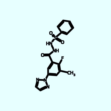 Cc1cc(-n2nccn2)cc(C(=O)NNS(=O)(=O)c2ccccc2)c1F